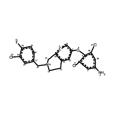 Nc1cc(Cl)c(Oc2ccc3c(c2)CCN(Cc2ccc(F)c(Cl)c2)C3)c(Cl)c1